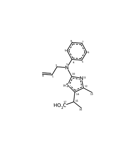 C=CCN(c1ccccc1)c1nc(C)c(C(C)C(=O)O)s1